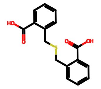 O=C(O)c1ccccc1CSCc1ccccc1C(=O)O